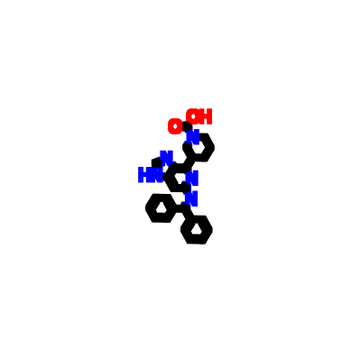 O=C(O)N1CCCC(c2nc(N=C(c3ccccc3)c3ccccc3)cc3[nH]cnc23)C1